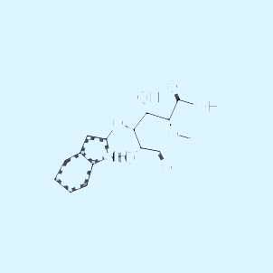 O=C[C@H](O)[C@@H](Oc1cc2ccccc2[nH]1)[C@H](O)[C@H](OI)C(=O)O